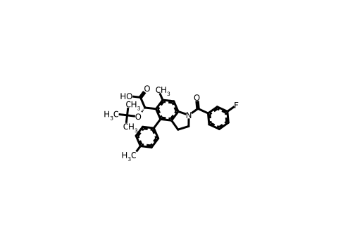 Cc1ccc(-c2c3c(cc(C)c2[C@H](OC(C)(C)C)C(=O)O)N(C(=O)c2cccc(F)c2)CC3)cc1